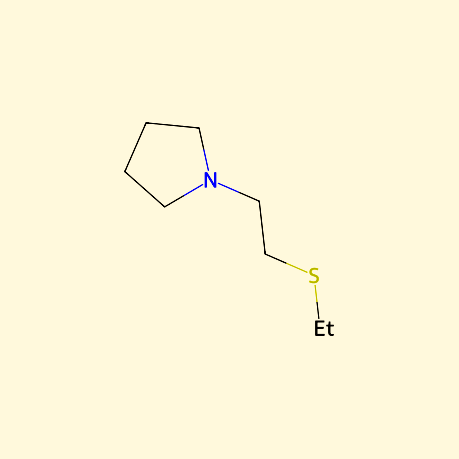 CCSCCN1CCCC1